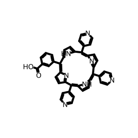 O=C(O)c1cccc(-c2c3nc(c(-c4ccncc4)c4ccc([nH]4)c(-c4ccncc4)c4nc(c(-c5ccncc5)c5ccc2[nH]5)C=C4)C=C3)c1